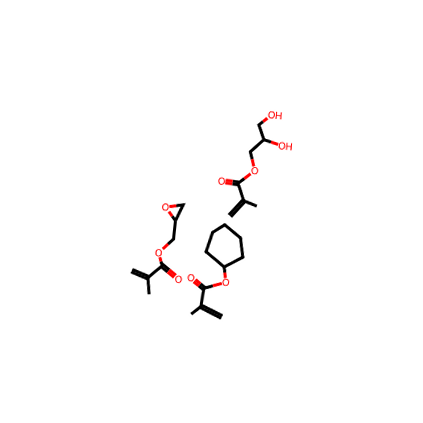 C=C(C)C(=O)OC1CCCCC1.C=C(C)C(=O)OCC(O)CO.C=C(C)C(=O)OCC1CO1